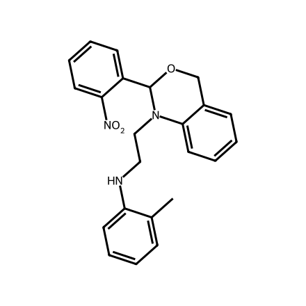 Cc1ccccc1NCCN1c2ccccc2COC1c1ccccc1[N+](=O)[O-]